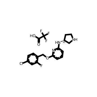 Fc1cc(Cl)ccc1COc1cccc(N[C@@H]2CCNC2)n1.O=C(O)C(F)(F)F